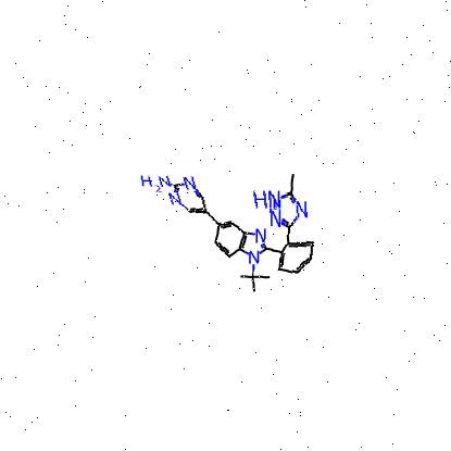 Cc1nc(-c2ccccc2-c2nc3cc(-c4cnc(N)nc4)ccc3n2C(C)(C)C)n[nH]1